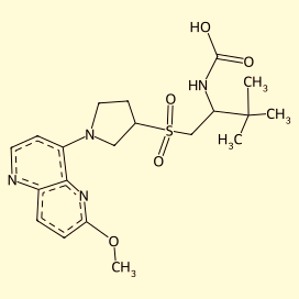 COc1ccc2nccc(N3CCC(S(=O)(=O)CC(NC(=O)O)C(C)(C)C)C3)c2n1